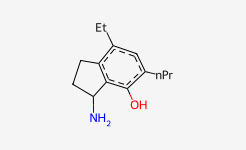 CCCc1cc(CC)c2c(c1O)C(N)CC2